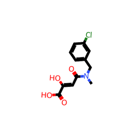 CN(Cc1cccc(Cl)c1)C(=O)C=C(O)C(=O)O